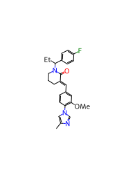 CCC(c1ccc(F)cc1)N1CCCC(=Cc2ccc(-n3cnc(C)c3)c(OC)c2)C1=O